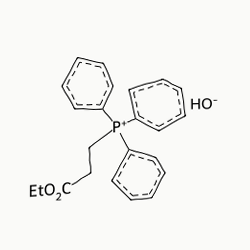 CCOC(=O)CC[P+](c1ccccc1)(c1ccccc1)c1ccccc1.[OH-]